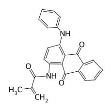 C=C(C)C(=O)Nc1ccc(Nc2ccccc2)c2c1C(=O)c1ccccc1C2=O